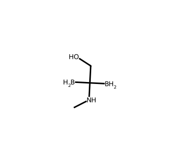 BC(B)(CO)NC